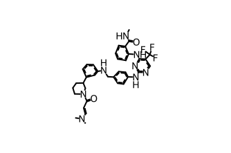 CNC(=O)c1ccccc1Nc1nc(Nc2ccc(CNc3cccc(C4CCCN(C(=O)/C=C/N(C)C)C4)c3)cc2)ncc1C(F)(F)F